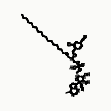 CCCCCCCCCCCCCCCCCCOC[C@H](COP(=O)(O)OC[C@H]1O[C@@](C#N)(c2ccc3c(C)ncnn23)[C@H](O)[C@@H]1O)OCc1ccc(C#N)cc1Cl